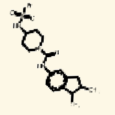 CC1Cc2cc(NC(=O)N3CCC(NS(=O)(=O)C(C)C)CC3)ccc2C1C